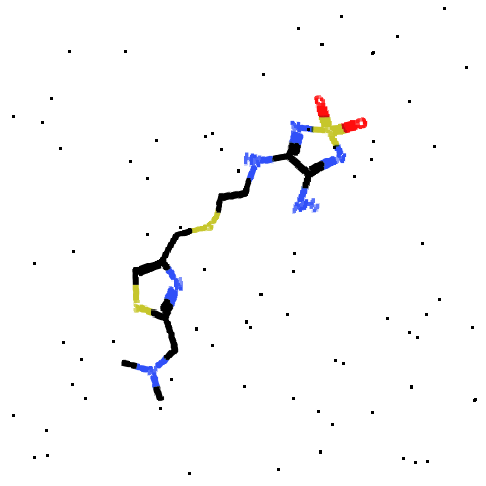 CN(C)Cc1nc(CSCCNC2=NS(=O)(=O)N=C2N)cs1